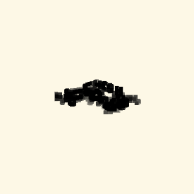 C[C@H](c1ccc(COc2cccc3c2CN([C@@H](CCC(=O)O)C(N)=O)C3=O)cc1)N1CCN(S(C)(=O)=O)CC1